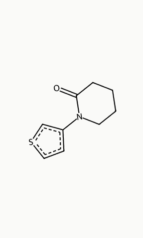 O=C1CCCCN1c1ccsc1